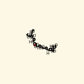 Cn1c(=O)n(C2CCC(=O)NC2=O)c2ccc(Nc3cccc(CC(=O)Nc4cccc(CS(=O)(=O)N5CC[C@H](Nc6cccc(-c7sc(C(=O)OC(C)(C)C)c(OCC(=O)OC(C)(C)C)c7Cl)c6)CC5(C)C)c4)c3)cc21